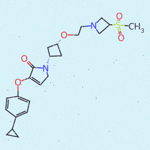 CS(=O)(=O)C1CN(CCO[C@H]2C[C@@H](N3CC=C(Oc4ccc(C5CC5)cc4)C3=O)C2)C1